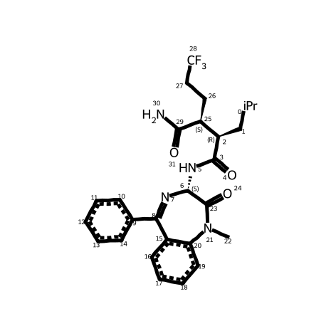 CC(C)C[C@@H](C(=O)N[C@H]1N=C(c2ccccc2)c2ccccc2N(C)C1=O)[C@H](CCC(F)(F)F)C(N)=O